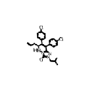 C=CCC1Nn2c(nn(CC(C)C)c2=O)C(c2ccc(Cl)cc2)=C1c1ccc(Cl)cc1